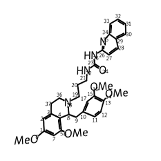 COc1cc2c(c(OC)c1)C(Cc1ccc(OC)c(OC)c1)N(CCCNC(=O)Nc1ccc3ccccc3n1)CC2